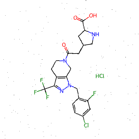 Cl.O=C(O)C1CC(CC(=O)N2CCc3c(C(F)(F)F)nn(Cc4ccc(Cl)cc4F)c3C2)CN1